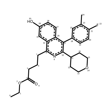 CCOC(=O)CCCc1nc(C2CCOCC2)c(-c2ccc(F)c(C)c2)c2ccc(O)cc12